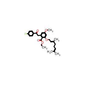 CCOC(=O)c1c(CC(=O)c2ccc(F)cc2)cc(OC)cc1OC/C=C(\C)CCC=C(C)C